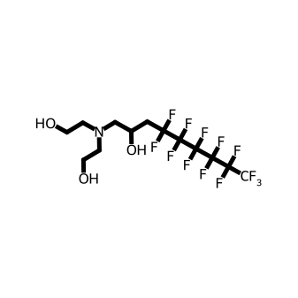 OCCN(CCO)CC(O)CC(F)(F)C(F)(F)C(F)(F)C(F)(F)C(F)(F)C(F)(F)F